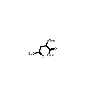 CCCCCCCCCC(CC(=O)OCC(C)C)C(=O)OCC(C)C